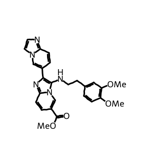 COC(=O)c1ccc2nc(-c3ccc4nccn4c3)c(NCCc3ccc(OC)c(OC)c3)n2c1